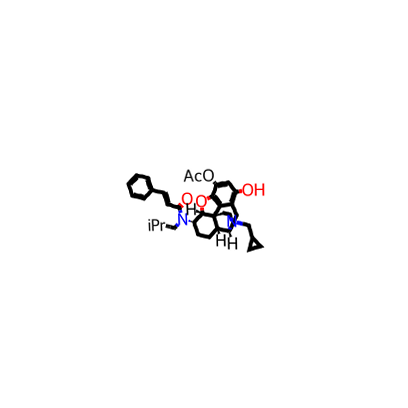 CC(=O)Oc1cc(O)c2c3c1O[C@H]1[C@@H](N(CC(C)C)C(=O)C=Cc4ccccc4)CC[C@H]4[C@@H](C2)N(CC2CC2)CC[C@@]341